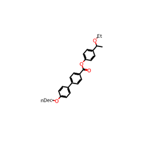 CCCCCCCCCCOc1ccc(-c2ccc(C(=O)Oc3ccc(C(C)OCC)cc3)cc2)cc1